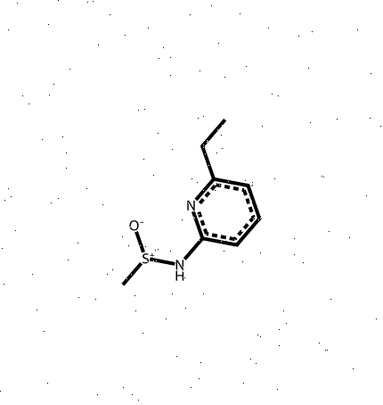 CCc1[c]ccc(N[S+](C)[O-])n1